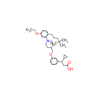 CCOc1ccc(CCCC(C)(C)C)c(N2CCC(COc3cccc(C(CC(=O)O)C4CC4)c3)CC2)c1